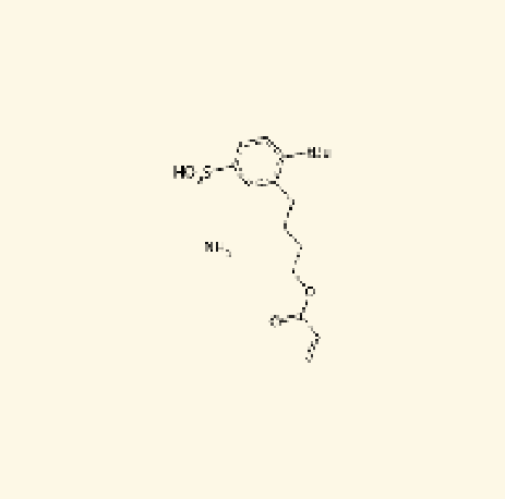 C=CC(=O)OCCCCc1cc(S(=O)(=O)O)ccc1C(C)(C)C.N